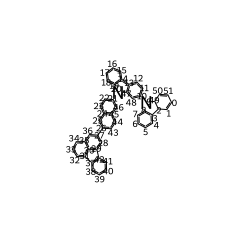 C1=CC2c3ccccc3N(c3ccc4c5ccccc5n(-c5ccc6cc(-c7cc8c9c(cccc9c7)-c7ccccc7-8)ccc6c5)c4c3)C2C=C1